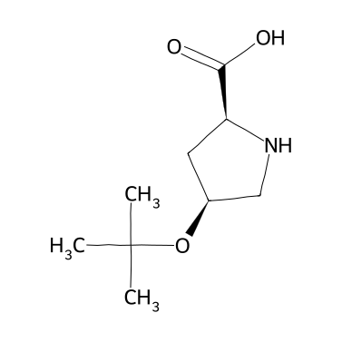 CC(C)(C)O[C@@H]1CN[C@H](C(=O)O)C1